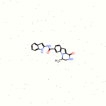 CC1CNC(=O)c2cc3ccc(C(=O)Nc4cc5ccccc5[nH]4)cc3n21